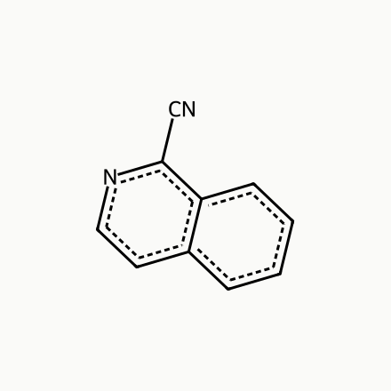 N#Cc1nccc2ccccc12